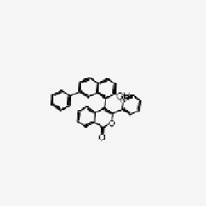 O=c1oc(-c2ccccn2)c(-c2c(O)ccc3ccc(-c4ccccc4)cc23)c2ccccc12